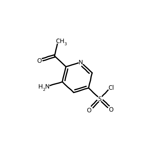 CC(=O)c1ncc(S(=O)(=O)Cl)cc1N